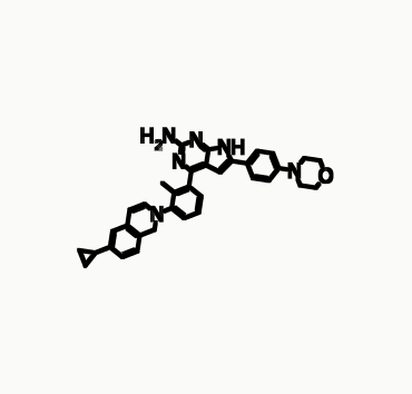 Cc1c(-c2nc(N)nc3[nH]c(-c4ccc(N5CCOCC5)cc4)cc23)cccc1N1C=Cc2cc(C3CC3)ccc2C1